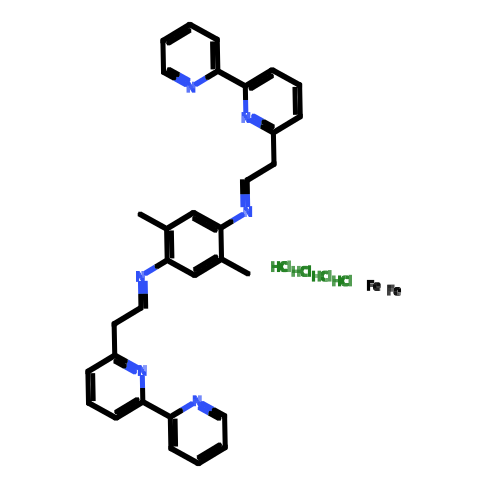 Cc1cc(N=CCc2cccc(-c3ccccn3)n2)c(C)cc1N=CCc1cccc(-c2ccccn2)n1.Cl.Cl.Cl.Cl.[Fe].[Fe]